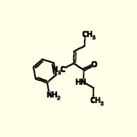 CCC=C(C)C(=O)NCC.Nc1ccccc1